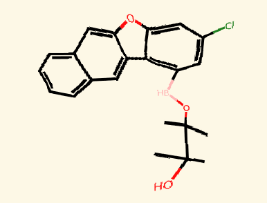 CC(C)(O)C(C)(C)OBc1cc(Cl)cc2oc3cc4ccccc4cc3c12